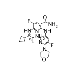 C[C@H](N)[C@H](Nc1nc(Nc2cnc(N3CCOCC3)c(F)c2)c(C(N)=O)cc1F)C1CCC1